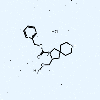 COCC1CC2(CCNCC2)CN1C(=O)OCc1ccccc1.Cl